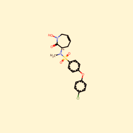 CN([C@@H]1CC=CCN(O)C1=O)S(=O)(=O)c1ccc(Oc2ccc(Cl)cc2)cc1